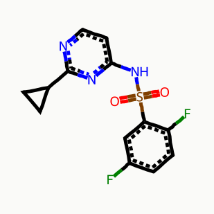 O=S(=O)(Nc1ccnc(C2CC2)n1)c1cc(F)ccc1F